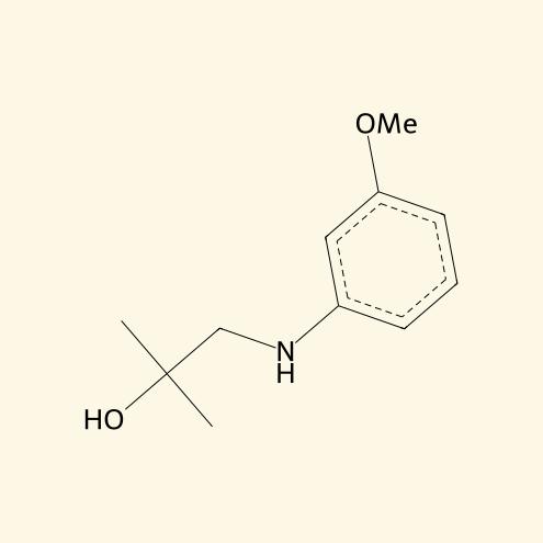 COc1cccc(NCC(C)(C)O)c1